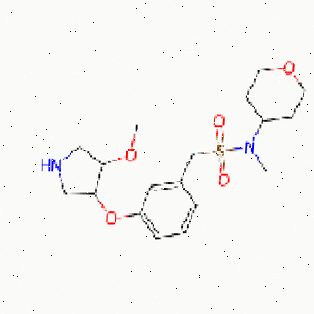 COC1CNCC1Oc1cccc(CS(=O)(=O)N(C)C2CCOCC2)c1